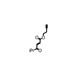 C#CCCOC(=O)/C=C/C(=O)C(C)C